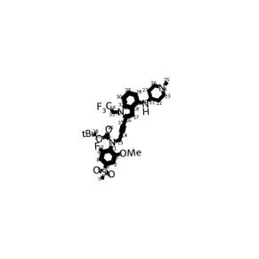 COc1cc(S(C)(=O)=O)cc(F)c1N(CC#Cc1cc2c(NC3CCN(C)CC3)cccc2n1CC(F)(F)F)C(=O)OC(C)(C)C